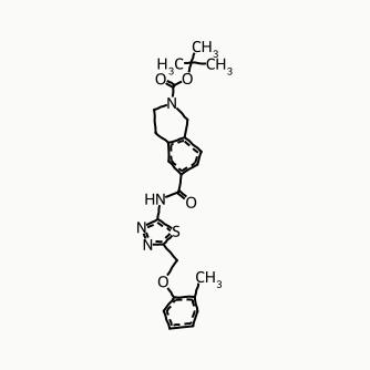 Cc1ccccc1OCc1nnc(NC(=O)c2ccc3c(c2)CCN(C(=O)OC(C)(C)C)C3)s1